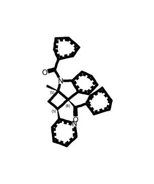 C[C@]12C[C@H](c3ccccn3)[C@@]1(C(=O)c1ccccc1)c1ccccc1N2C(=O)c1ccccc1